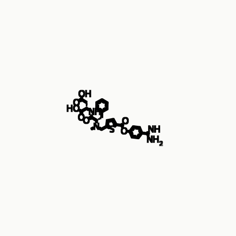 CN(Cc1ccc(C(=O)Oc2ccc(C(=N)N)cc2)s1)[C@@H](Cc1ccccc1)C(=O)N[C@@H](CC(=O)O)C(=O)O